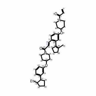 C=CC(=O)N1CCC(Oc2ccc(/C=C/C(=O)N3CCC(Oc4cccc(C5CCCC5CC)c4)CC3)c(C3=C(C)CCC3)c2)CC1